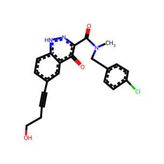 CN(Cc1ccc(Cl)cc1)C(=O)c1n[nH]c2ccc(C#CCCO)cc2c1=O